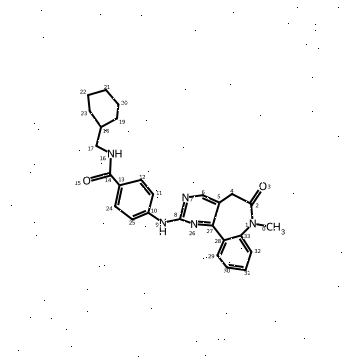 CN1C(=O)Cc2cnc(Nc3ccc(C(=O)NCC4CCCCC4)cc3)nc2-c2ccccc21